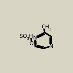 Cc1cnccn1.O=S(=O)(O)O